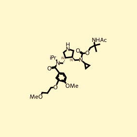 COCCCOc1cc(C(=O)N(C[C@@H]2CNC[C@H]2CN(C(=O)OCC(C)(C)NC(C)=O)C2CC2)C(C)C)ccc1OC